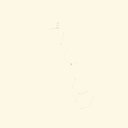 CCCCCCCCOC(=O)CCCCC(=O)OCCc1ccccc1